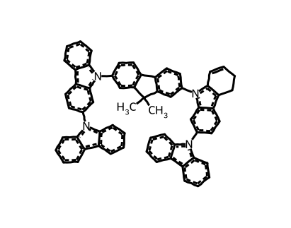 CC1(C)c2cc(-n3c4c(c5ccc(-n6c7ccccc7c7ccccc76)cc53)CCC=C4)ccc2-c2ccc(-n3c4ccccc4c4ccc(-n5c6ccccc6c6ccccc65)cc43)cc21